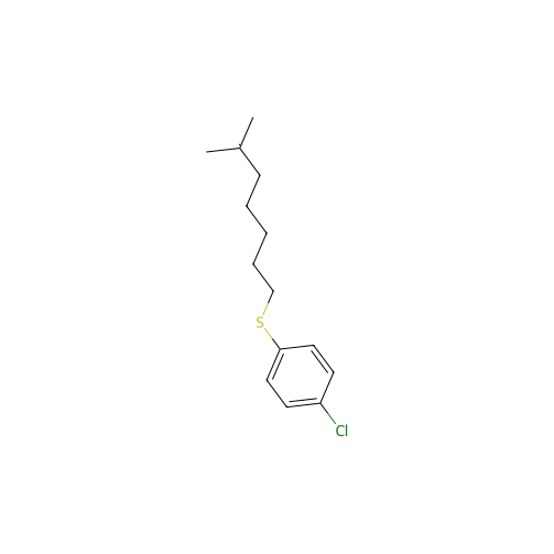 C[C](C)CCCCCSc1ccc(Cl)cc1